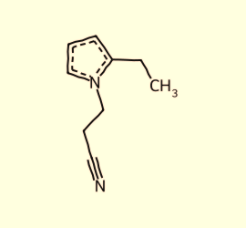 CCc1cccn1CCC#N